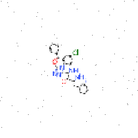 Cc1nnc(C(N)C(=O)[C@@H](N)Cc2ccccc2)n1-c1ccc(Cl)cc1C(=O)c1ccccc1